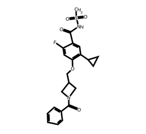 CS(=O)(=O)NC(=O)c1cc(C2CC2)c(OCC2CN(C(=O)c3ccccc3)C2)cc1F